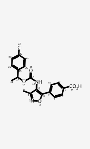 Cc1noc(-c2ccc(C(=O)O)cc2)c1NC(=O)OC(C)c1ccc(Cl)cc1